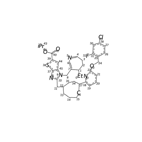 CCC1CCC=NC=C1Cn1c(CC2CCCCC(c3cccc(OCc4ccc(Cl)cc4F)n3)CC2)nc2sc(C(=O)OC(C)C)cc21